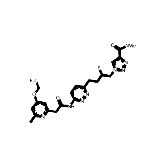 CNC(=O)c1cn(CC(F)CCc2ccc(NC(=O)Cc3cc(OCC(F)(F)F)cc(C)n3)nn2)nn1